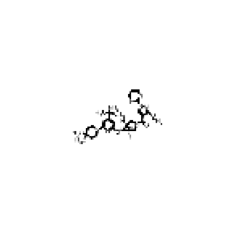 COc1nn(-c2ncccn2)cc1C(=O)N1C[C@@H]2[C@H](C1)[C@H]2Oc1cc(C(C)(C)N)cc(N2CCC(C)(C)CC2)n1